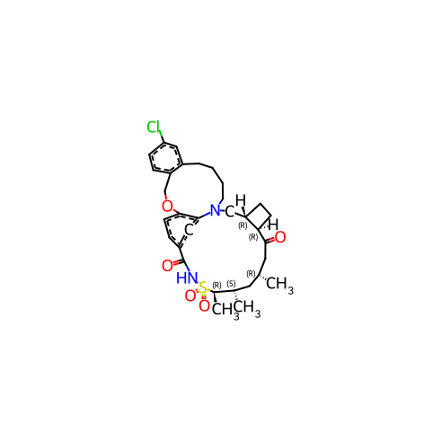 C[C@H]1CC(=O)[C@@H]2CC[C@H]2CN2CCCCc3cc(Cl)ccc3COc3ccc(cc32)C(=O)NS(=O)(=O)[C@H](C)[C@@H](C)C1